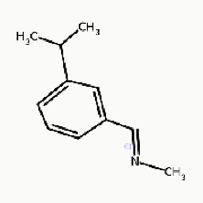 C/N=C/c1cccc(C(C)C)c1